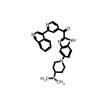 CN(C)C1CCN(c2ccc3[nH]c(C(=O)c4ccnc(-c5cncc6ccccc56)c4)nc3c2)CC1